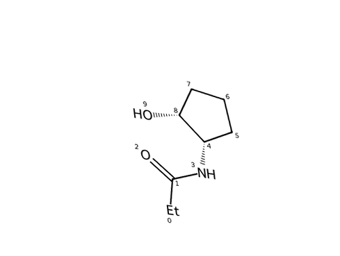 CCC(=O)N[C@H]1CCC[C@H]1O